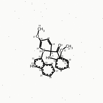 CCC(=O)C1(Nc2ccccc2OC)C=CC(OC)=CN1c1c[nH]c2ccccc12